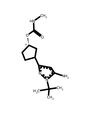 CNC(=O)O[C@H]1CCC(c2cc(N)n(C(C)(C)C)n2)C1